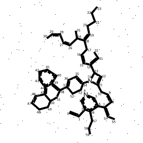 C=Cc1cncc(C(/C=C\CC2=CC(C(/C=C\C/C(=C/CCCC)C(C)/C=C\C=C/C)=C/C)N2C2=CC=C(C3=c4ccccc4=C4C=CCCC4C3)CC2)=C/C)c1CCC